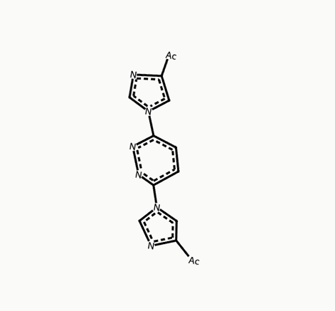 CC(=O)c1cn(-c2ccc(-n3cnc(C(C)=O)c3)nn2)cn1